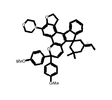 C/C=C1\CC(C)(C)CC2(C1)c1ccccc1-c1c2c2c(c3cc(N4CCOCC4)c4c(c13)CCO4)OC(c1ccc(OC)cc1)(c1ccc(OC)cc1)C=C2